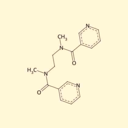 CN(CCN(C)C(=O)c1cccnc1)C(=O)c1cccnc1